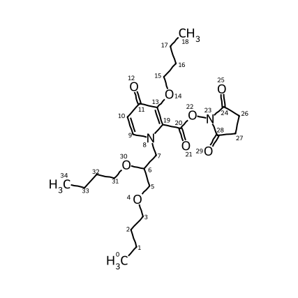 CCCCOCC(Cn1ccc(=O)c(OCCCC)c1C(=O)ON1C(=O)CCC1=O)OCCCC